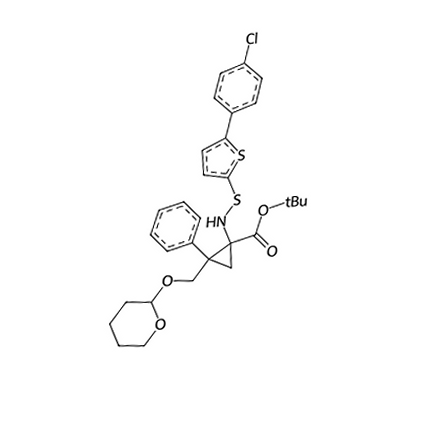 CC(C)(C)OC(=O)C1(NSc2ccc(-c3ccc(Cl)cc3)s2)CC1(COC1CCCCO1)c1ccccc1